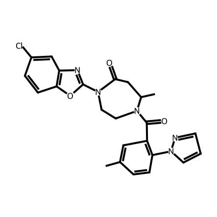 Cc1ccc(-n2cccn2)c(C(=O)N2CCN(c3nc4cc(Cl)ccc4o3)C(=O)CC2C)c1